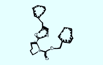 O=C(OCc1ccccc1)N1CCC[C@H]1c1ncc(-c2ccccc2)o1